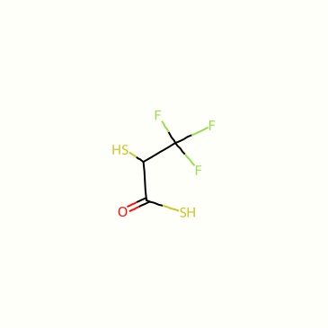 O=C(S)C(S)C(F)(F)F